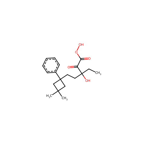 CCC(O)(CCC1(c2ccccc2)CC(C)(C)C1)C(=O)C(=O)OO